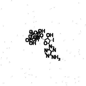 Nc1ncnc2c1ncn2[C@@H]1O[C@H](COP(=O)(O)OP(=O)(O)OP(=O)(O)O)C(O)[C@@H]1I